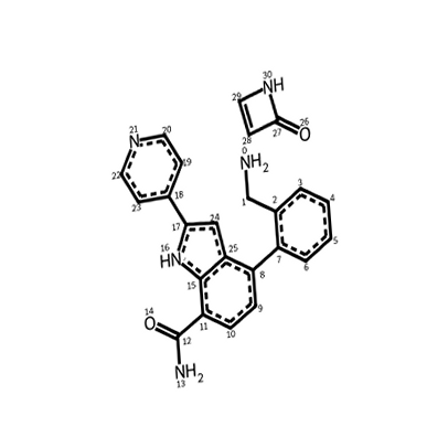 NCc1ccccc1-c1ccc(C(N)=O)c2[nH]c(-c3ccncc3)cc12.O=C1C=CN1